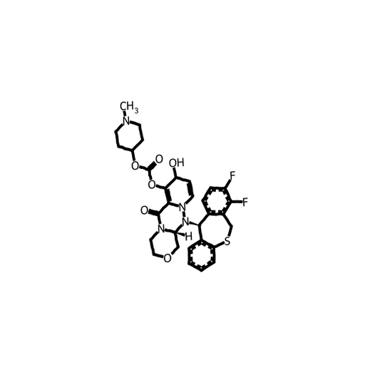 CN1CCC(OC(=O)OC2=C3C(=O)N4CCOC[C@H]4N([C@@H]4c5ccccc5SCc5c4ccc(F)c5F)N3C=CC2O)CC1